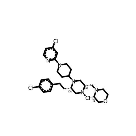 CN1C[C@H](CCc2ccc(Cl)cc2)N(C2CCN(c3cc(Cl)ccn3)CC2)C[C@@H]1CN1CCOCC1